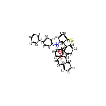 c1ccc(-c2ccc(N(c3ccccc3)c3cccc4sc5ccc6c(oc7ccc8ccccc8c76)c5c34)cc2)cc1